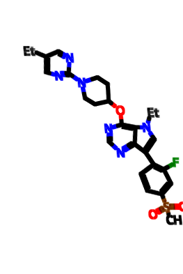 CCc1cnc(N2CCC(Oc3ncnc4c(-c5ccc(S(C)(=O)=O)cc5F)cn(CC)c34)CC2)nc1